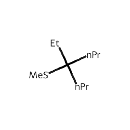 CCCC(CC)(CCC)SC